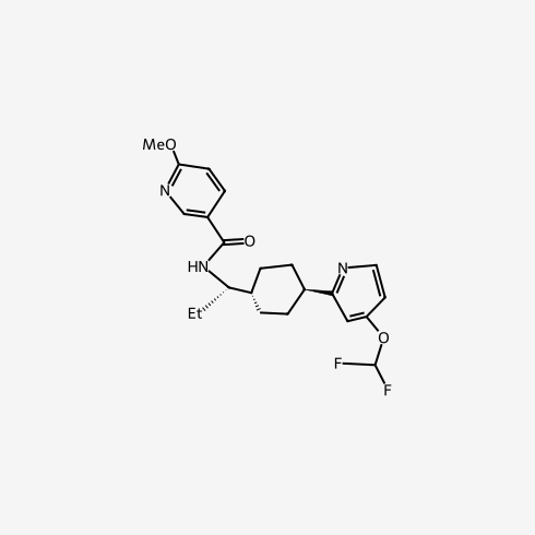 CC[C@H](NC(=O)c1ccc(OC)nc1)[C@H]1CC[C@H](c2cc(OC(F)F)ccn2)CC1